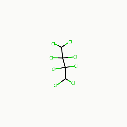 Cl[C](Cl)C(Cl)(Cl)C(Cl)(Cl)[C](Cl)Cl